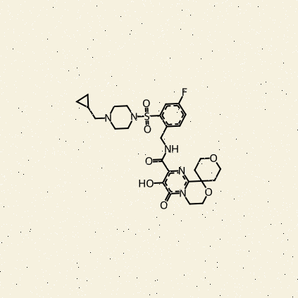 O=C(NCc1ccc(F)cc1S(=O)(=O)N1CCN(CC2CC2)CC1)c1nc2n(c(=O)c1O)CCOC21CCOCC1